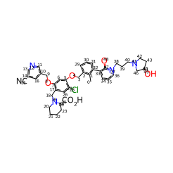 Cc1c(COc2cc(OCc3cncc(C#N)c3)c(CN3CCCC[C@H]3C(=O)O)cc2Cl)cccc1-c1cccn(CCCN2CC[C@@H](O)C2)c1=O